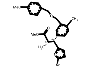 COC(=O)[C@@H](C)[C@H](c1ccc(C)c(COCc2ccc(OC)cc2)c1)c1ccc(C(C)=O)s1